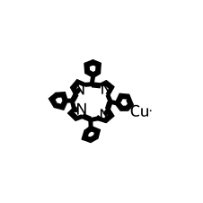 C1=CC2=C(c3ccccc3)C3=NC(=C(c4ccccc4)C4=NC(=C(c5ccccc5)C5=NC(=C(c6ccccc6)C1=N2)C=C5)C=C4)C=C3.[Cu]